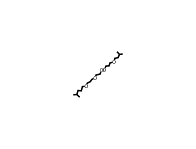 CC(C)CCCOCCCOCCOOCCCOCCC(C)C